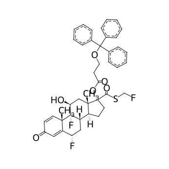 C[C@]12C=CC(=O)C=C1[C@@H](F)C[C@H]1[C@@H]3CC[C@](OC(=O)CCOC(c4ccccc4)(c4ccccc4)c4ccccc4)(C(=O)SCF)[C@@]3(C)C[C@H](O)[C@@]12F